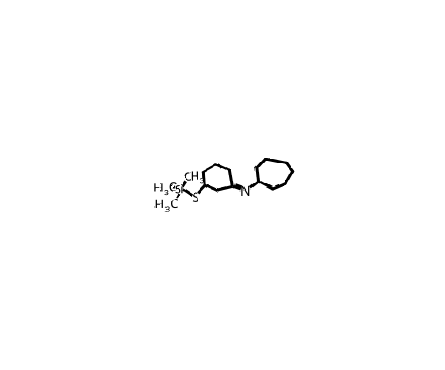 C[Si](C)(C)SC1CCCC(=NC2CCCCCC2)C1